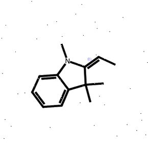 C/C=C1/N(C)c2ccccc2C1(C)C